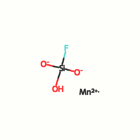 [Mn+2].[O-][Si]([O-])(O)F